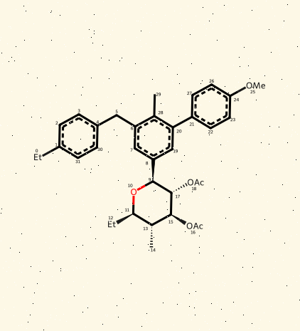 CCc1ccc(Cc2cc([C@@H]3O[C@H](CC)[C@@H](C)[C@H](OC(C)=O)[C@H]3OC(C)=O)cc(-c3ccc(OC)cc3)c2C)cc1